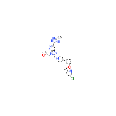 C[C@]1(c2ccc(Cl)cn2)Oc2cccc(C3CCN(Cc4nc5cc(-c6nnc(C#N)[nH]6)nnc5n4C[C@@H]4CCO4)CC3)c2O1